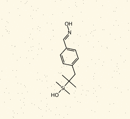 CC(C)(Cc1ccc(/C=N/O)cc1)[Si](C)(C)O